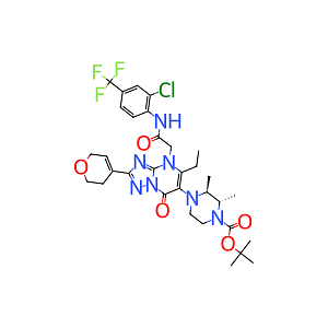 CCc1c(N2CCN(C(=O)OC(C)(C)C)[C@@H](C)[C@@H]2C)c(=O)n2nc(C3=CCOCC3)nc2n1CC(=O)Nc1ccc(C(F)(F)F)cc1Cl